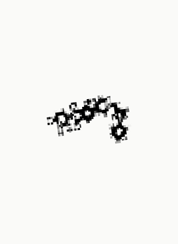 O=C1CCC(N2C(=O)c3ccc(C4(O)CCN(Cc5ccn(-c6ccccc6)n5)CC4)cc3C2=O)C(=O)N1